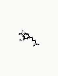 CN(C)CCCc1cc(C(C)(C)C)c(O)c(C(C)(C)C)c1